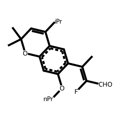 CCCOc1cc2c(cc1C(C)=C(F)C=O)C(C(C)C)=CC(C)(C)O2